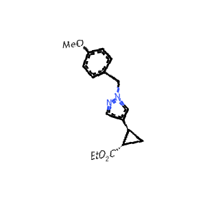 CCOC(=O)[C@H]1C[C@@H]1c1cnn(Cc2ccc(OC)cc2)c1